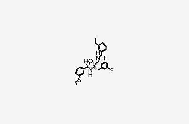 CCSc1cccc(C(=O)N[C@@H](Cc2cc(F)cc(F)c2)[C@H](O)CNCc2cccc(CC)c2)c1